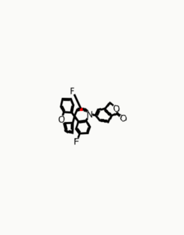 O=C1OCc2cc(N3c4ccc(F)cc4C4(c5ccccc5Oc5ccccc54)c4cc(F)ccc43)ccc21